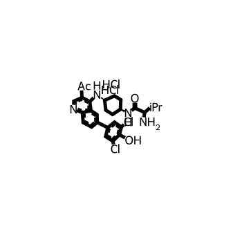 CC(=O)c1cnc2ccc(-c3cc(Cl)c(O)c(Cl)c3)cc2c1N[C@H]1CC[C@H](NC(=O)C(N)C(C)C)CC1.Cl.Cl